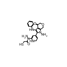 NN(C(=O)CS)C1=CC(c2c(Nc3ccccc3)c3c(n2N)COCC3=O)=CCN1